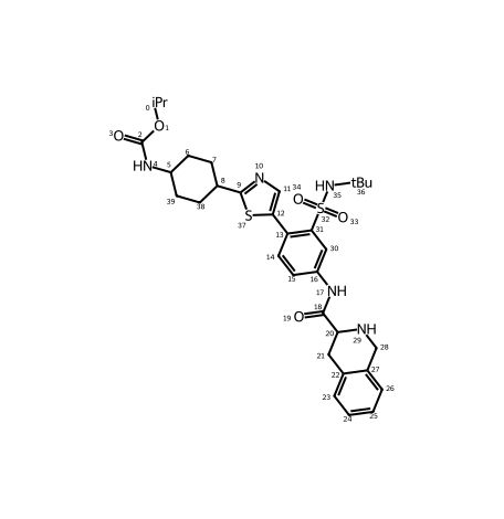 CC(C)OC(=O)NC1CCC(c2ncc(-c3ccc(NC(=O)C4Cc5ccccc5CN4)cc3S(=O)(=O)NC(C)(C)C)s2)CC1